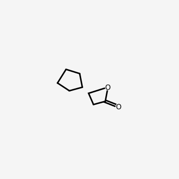 C1CCCC1.O=C1CCO1